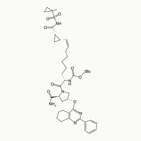 CC(C)(C)OC(=O)N[C@@H](CCCCC/C=C\[C@@H]1C[C@@H]1C(=O)NS(=O)(=O)C1(C)CC1)C(=O)N1C[C@H](Oc2nc(-c3ccccc3)nc3c2CCCC3)C[C@H]1C(N)=O